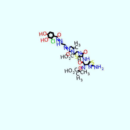 C[C@H]1CN(/N=C/C=N/NC(=O)c2ccc(O)c(O)c2Cl)C(=O)N1[C@]1(C(=O)O)CN2C(=O)C(NC(=O)/C(=N\OC(C)(C)C(=O)O)c3csc(N)n3)[C@H]2S1